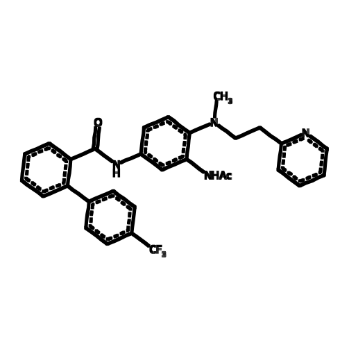 CC(=O)Nc1cc(NC(=O)c2ccccc2-c2ccc(C(F)(F)F)cc2)ccc1N(C)CCc1ccccn1